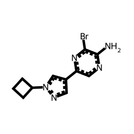 Nc1ncc(-c2cnn(C3CCC3)c2)nc1Br